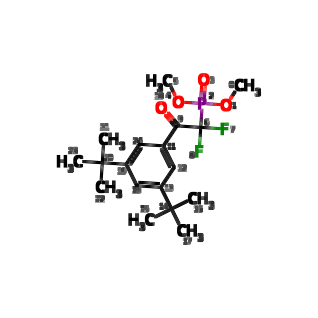 COP(=O)(OC)C(F)(F)C(=O)c1cc(C(C)(C)C)cc(C(C)(C)C)c1